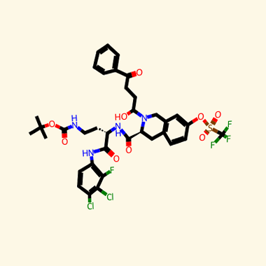 CC(C)(C)OC(=O)NCC[C@H](NC(=O)[C@@H]1Cc2ccc(OS(=O)(=O)C(F)(F)F)cc2CN1C(O)CCC(=O)c1ccccc1)C(=O)Nc1ccc(Cl)c(Cl)c1F